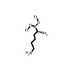 CCOB(OCC)[C@@H](N)CCCCN